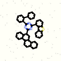 c1ccc(-c2ccccc2-c2nc(-c3cc4c5ccccc5ccc4c4ccccc34)nc(-c3cccc4sc5ccccc5c34)n2)cc1